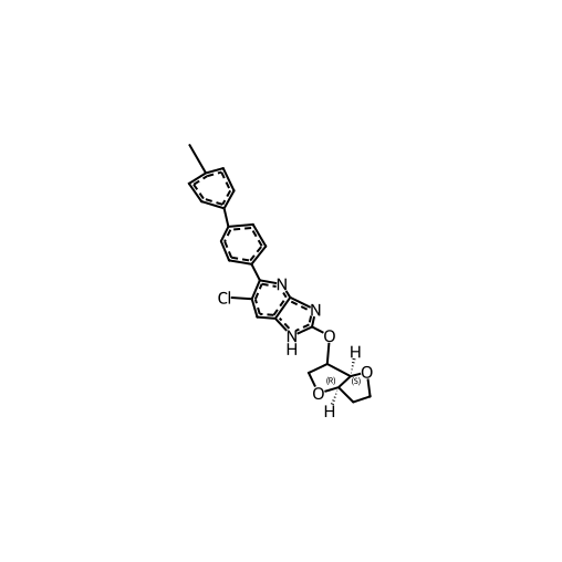 Cc1ccc(-c2ccc(-c3nc4nc(OC5CO[C@@H]6CCO[C@H]56)[nH]c4cc3Cl)cc2)cc1